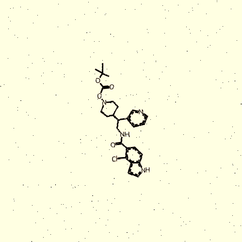 CC(C)(C)OC(=O)ON1CCC(C(CNC(=O)c2ccc3[nH]ccc3c2Cl)c2cccnc2)CC1